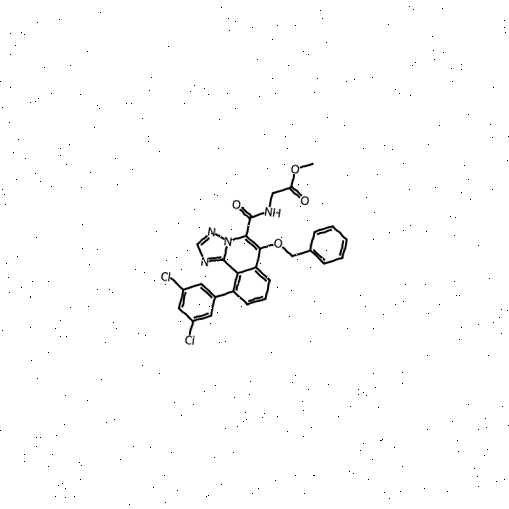 COC(=O)CNC(=O)c1c(OCc2ccccc2)c2cccc(-c3cc(Cl)cc(Cl)c3)c2c2ncnn12